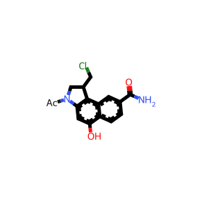 CC(=O)N1CC(CCl)c2c1cc(O)c1ccc(C(N)=O)cc21